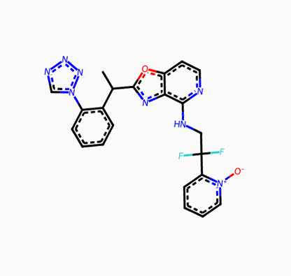 CC(c1nc2c(NCC(F)(F)c3cccc[n+]3[O-])nccc2o1)c1ccccc1-n1cnnn1